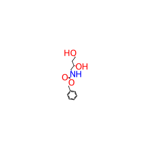 O=C(NC[C@H](O)CCO)OCc1ccccc1